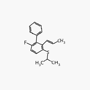 C/C=C/c1c(SC(C)C)ccc(F)c1-c1ccccc1